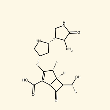 C[C@@H](O)C1C(=O)N2C(C(=O)O)=C(S[C@@H]3CN[C@H](C4CNC(=O)C4N)C3)[C@H](C)[C@@H]12